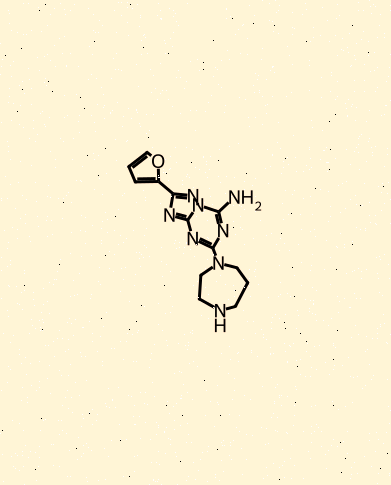 Nc1nc(N2CCCNCC2)nc2nc(-c3ccco3)nn12